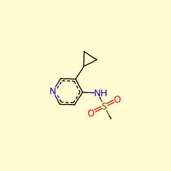 CS(=O)(=O)Nc1ccncc1C1CC1